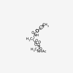 CC(=O)NC(C)C(=O)N1CC(=O)C2C1CCN2C(=O)CC(C)CCNC(=O)c1ccc(N2CCN(C)CC2)cc1